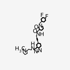 CN1CCCC1CCNc1ncnc2ccc(C#CCNC(=O)c3cccn(Cc4ccc(F)c(F)c4)c3=O)cc12